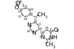 Cc1nc(-c2cc(C(C)c3ccc(OC(F)(F)F)cc3)ncn2)cc(=O)[nH]1